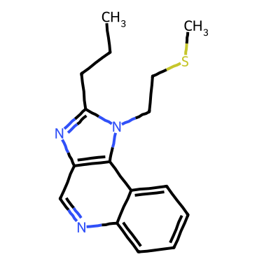 CCCc1nc2cnc3ccccc3c2n1CCSC